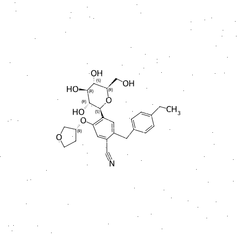 CCc1ccc(Cc2cc([C@@H]3O[C@H](CO)[C@@H](O)[C@H](O)[C@H]3O)c(O[C@@H]3CCOC3)cc2C#N)cc1